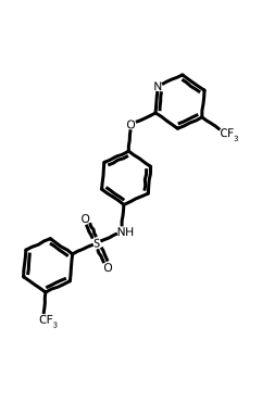 O=S(=O)(Nc1ccc(Oc2cc(C(F)(F)F)ccn2)cc1)c1cccc(C(F)(F)F)c1